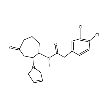 CN(C(=O)Cc1ccc(Cl)c(Cl)c1)C1CCCC(=O)CC1N1CC=CC1